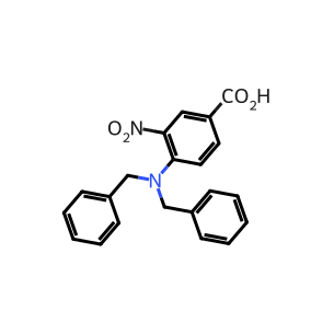 O=C(O)c1ccc(N(Cc2ccccc2)Cc2ccccc2)c([N+](=O)[O-])c1